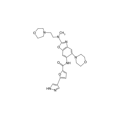 CN(CCN1CCOCC1)c1nc2cc(N3CCOCC3)c(NC(=O)c3ccc(-c4cn[nH]c4)o3)cc2o1